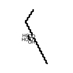 CCCCCCCCC=CCCCCCCCC(=O)OC(=O)CCCCCCC/C=C\CCCCCCCC.OCC(O)CO